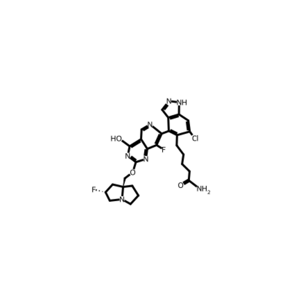 NC(=O)CCCCc1c(Cl)cc2[nH]ncc2c1-c1ncc2c(O)nc(OC[C@@]34CCCN3C[C@H](F)C4)nc2c1F